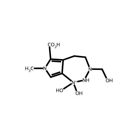 Cn1cc2c(c1C(=O)O)CCN(CO)N[N+]2(O)O